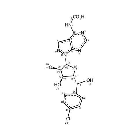 O=C(O)Nc1ncnc2c1cnn2[C@@H]1O[C@H](C(O)c2ccc(Cl)cc2)[C@@H](O)[C@H]1O